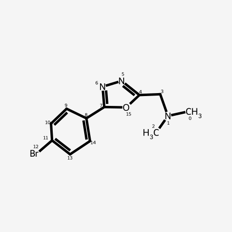 CN(C)Cc1nnc(-c2ccc(Br)cc2)o1